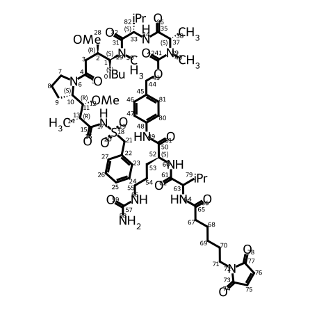 CC[C@H](C)[C@@H]([C@@H](CC(=O)N1CCC[C@H]1[C@H](OC)[C@@H](C)C(=O)NS(=O)(=O)Cc1ccccc1)OC)N(C)C(=O)[C@@H](NC(=O)[C@H](C)N(C)C(=O)OCc1ccc(NC(=O)[C@H](CCCNC(N)=O)NC(=O)C(NC(=O)CCCCCN2C(=O)C=CC2=O)C(C)C)cc1)C(C)C